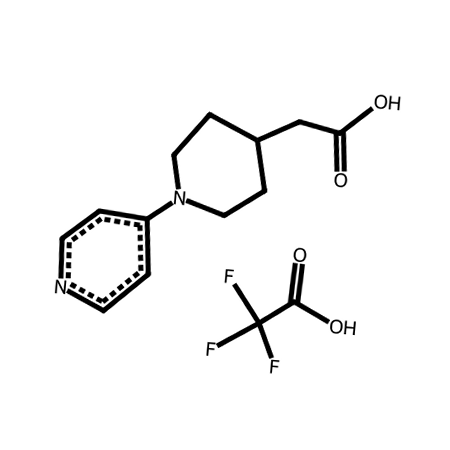 O=C(O)C(F)(F)F.O=C(O)CC1CCN(c2ccncc2)CC1